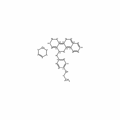 C1=CCOCC1.CCOc1ccc(CC2CC3=c4ccccc4=CCC3=C3CCCC=C32)cc1